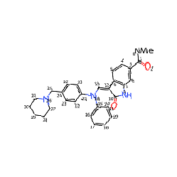 CNC(=O)c1ccc2c(c1)NC(=O)C2=CN(c1ccccc1)c1ccc(CN2CCCCC2)cc1